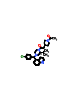 CC(=O)N1CCC(CC(=O)N2CCN(C(c3ccc(Cl)cc3)c3cccc4ncccc34)C[C@@H]2C(C)C)CC1